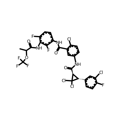 CC(OC(F)(F)F)C(=O)Nc1c(F)ccc(NC(=O)c2cc(NC(=O)[C@H]3[C@H](c4ccc(F)c(Cl)c4)C3(Cl)Cl)ccc2Cl)c1F